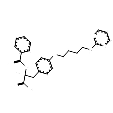 C[C@@](Cc1ccc(OCCCCNc2ncccn2)cc1)(NC(=O)c1ccccc1)C(=O)O